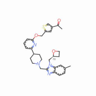 CC(=O)c1csc(COc2cccc(C3CCN(Cc4nc5ccc(C)cc5n4C[C@@H]4CCO4)CC3)n2)c1